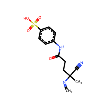 C=NC(C)(C#N)CCC(=O)Nc1ccc(S(=O)(=O)O)cc1